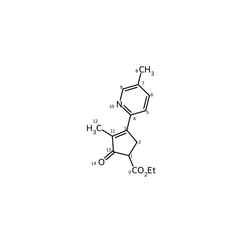 CCOC(=O)C1CC(c2ccc(C)cn2)=C(C)C1=O